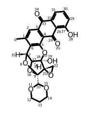 Cc1cc2c(c3c1[C@H]1O[C@]4(C5OCCCO5)O[C@@H]1[C@@](O)(O3)[C@@]41CO1)C(=O)c1c(O)cccc1C2=O